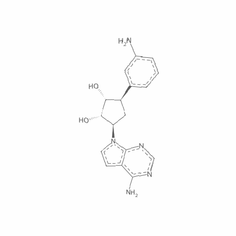 Nc1cccc([C@H]2C[C@@H](n3ccc4c(N)ncnc43)[C@H](O)[C@@H]2O)c1